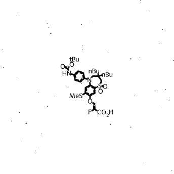 CCCCC1(CCCC)CN(c2ccc(NC(=O)OC(C)(C)C)cc2)c2cc(SC)c(OC=C(F)C(=O)O)cc2S(=O)(=O)C1